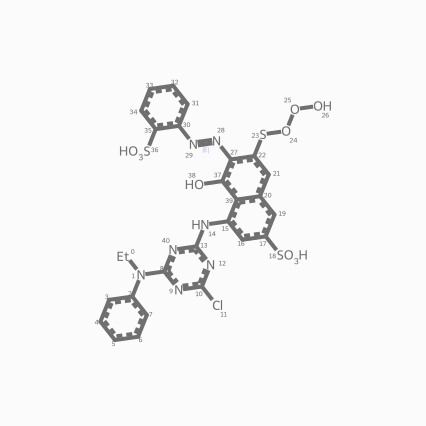 CCN(c1ccccc1)c1nc(Cl)nc(Nc2cc(S(=O)(=O)O)cc3cc(SOOO)c(/N=N/c4ccccc4S(=O)(=O)O)c(O)c23)n1